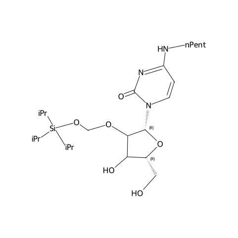 CCCCCNc1ccn([C@@H]2O[C@H](CO)C(O)C2OCO[Si](C(C)C)(C(C)C)C(C)C)c(=O)n1